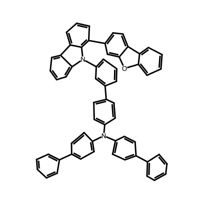 c1ccc(-c2ccc(N(c3ccc(-c4ccccc4)cc3)c3ccc(-c4cccc(-n5c6ccccc6c6cccc(-c7ccc8c(c7)oc7ccccc78)c65)c4)cc3)cc2)cc1